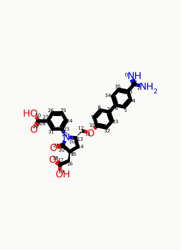 N=C(N)c1ccc(-c2ccc(OC[C@@H]3C[C@@H](CC(=O)O)C(=O)N3c3cccc(C(=O)O)c3)cc2)cc1